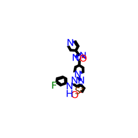 [O-][S+]1CCc2nc(N3CCC(c4nc(C5C=CN=CC5)no4)CC3)nc(Nc3cccc(F)c3)c21